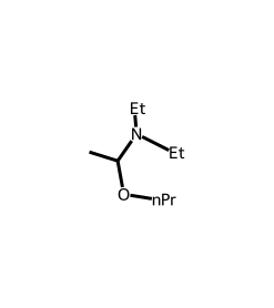 CCCOC(C)N(CC)CC